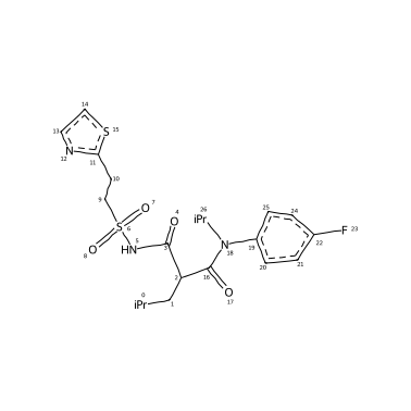 CC(C)CC(C(=O)NS(=O)(=O)CCc1nccs1)C(=O)N(c1ccc(F)cc1)C(C)C